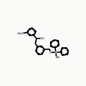 COc1cccc(C(O)Cc2cccc(CO[Si](c3ccccc3)(c3ccccc3)C(C)(C)C)c2)c1